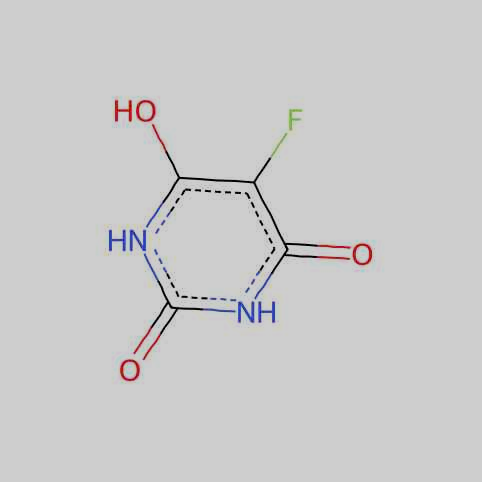 O=c1[nH]c(O)c(F)c(=O)[nH]1